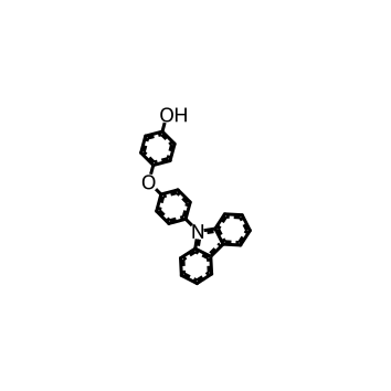 Oc1ccc(Oc2ccc(-n3c4ccccc4c4ccccc43)cc2)cc1